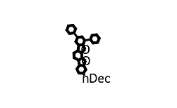 CCCCCCCCCCc1ccc2c(c1)oc1c2ccc2c3cc(-c4ccccc4)cc(-c4ccccc4)c3oc21